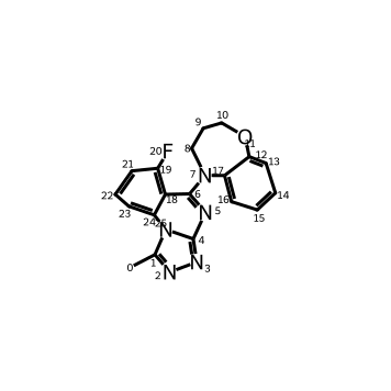 Cc1nnc2nc(N3CCCOc4ccccc43)c3c(F)cccc3n12